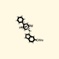 COc1ccc2c(c1)[C@@H](CN1C[C@@H]3CC[C@H]1CN3c1ccccc1)CC2